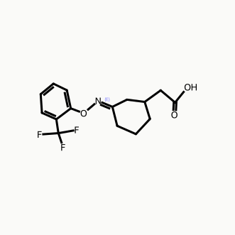 O=C(O)CC1CCC/C(=N\Oc2ccccc2C(F)(F)F)C1